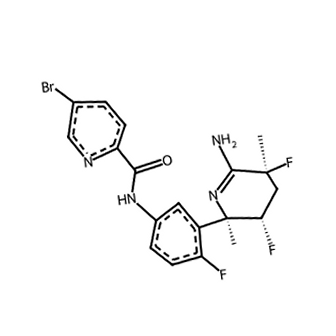 C[C@]1(F)C[C@H](F)[C@@](C)(c2cc(NC(=O)c3ccc(Br)cn3)ccc2F)N=C1N